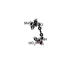 COC(=O)N[C@H](C(=O)N1[C@@H]2C[C@@H]2C[C@H]1c1nc(Cl)c(-c2ccc(C#Cc3ccc(-c4c[nH]c([C@@H]5C[C@H]6C[C@H]6N5C(=O)[C@H](C5CCOCC5)N(C)C(=O)O)n4)cc3)cc2)[nH]1)C1CCOCC1